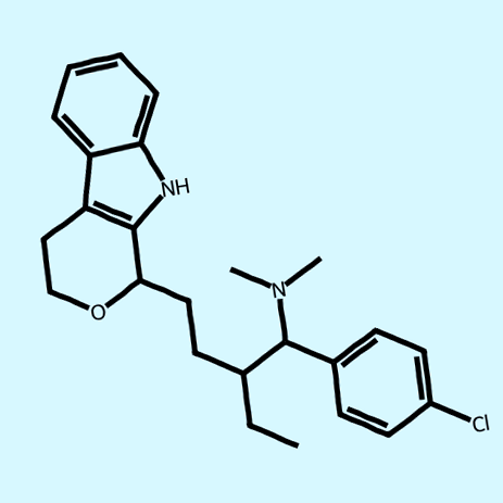 CCC(CCC1OCCc2c1[nH]c1ccccc21)C(c1ccc(Cl)cc1)N(C)C